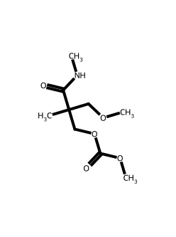 CNC(=O)C(C)(COC)COC(=O)OC